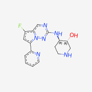 O[C@@H]1CNCC[C@H]1Nc1ncc2c(F)cc(-c3ccccn3)n2n1